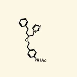 CC(=O)Nc1ccc(CCOC(CCc2ccccc2)Cn2ccnc2)cc1